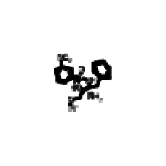 CC(C)OC[C@H](O)[C@](N)(Cc1ccccc1)NS(=O)(=O)c1cccc([N+](=O)[O-])c1